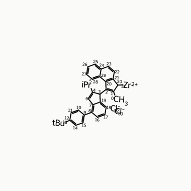 CC1=C(C2C(C(C)C)=Cc3c(-c4ccc(C(C)(C)C)cc4)cccc32)c2c(ccc3ccccc23)[CH]1[Zr+2].[Cl-].[Cl-]